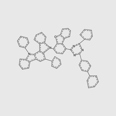 c1ccc(-c2ccc(-c3nc(-c4ccccc4)nc(-c4ccc(-n5c6ccccc6c6c5c(-c5ccccc5)cc5c7ccccc7n(-c7ccccc7)c56)c5oc6ccccc6c45)n3)cc2)cc1